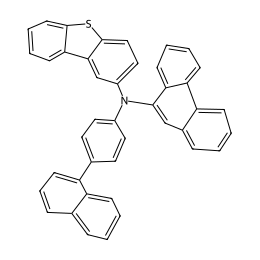 c1ccc2c(-c3ccc(N(c4ccc5sc6ccccc6c5c4)c4cc5ccccc5c5ccccc45)cc3)cccc2c1